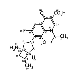 CC1COc2c(N3C[C@H]4[C@@H](C)C[C@@]4(N)C3)c(F)cc3c(=O)c(C(=O)O)cn1c23